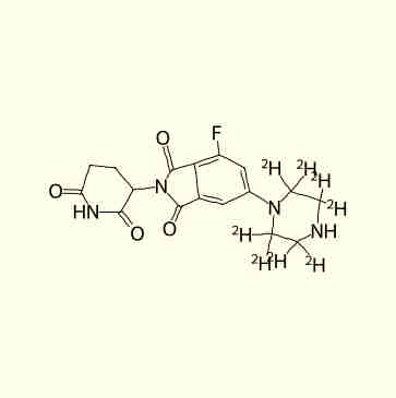 [2H]C1([2H])NC([2H])([2H])C([2H])([2H])N(c2cc(F)c3c(c2)C(=O)N(C2CCC(=O)NC2=O)C3=O)C1([2H])[2H]